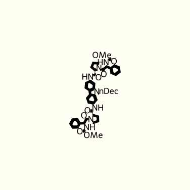 CCCCCCCCCCn1c2cc(NC(=O)[C@@H]3CCCN3C(=O)[C@H](NC(=O)OC)c3ccccc3)ccc2c2ccc(NC(=O)[C@@H]3CCCN3C(=O)[C@H](NC(=O)OC)c3ccccc3)cc21